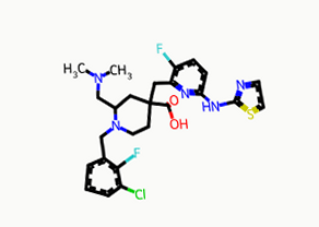 CN(C)CC1CC(Cc2nc(Nc3nccs3)ccc2F)(C(=O)O)CCN1Cc1cccc(Cl)c1F